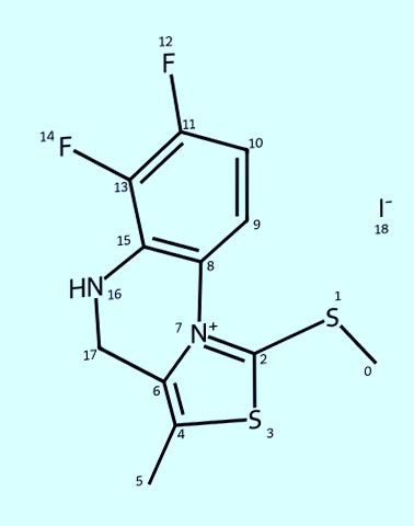 CSc1sc(C)c2[n+]1-c1ccc(F)c(F)c1NC2.[I-]